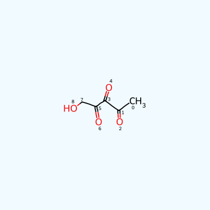 CC(=O)C(=O)C(=O)CO